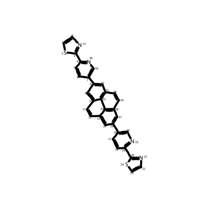 c1csc(-c2ccc(-c3cc4ccc5cc(-c6ccc(-c7nccs7)nc6)cc6ccc(c3)c4c56)cn2)n1